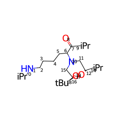 CC(C)NCCCCC(C(=O)C(C)C)N(CC(=O)C(C)C)CC(=O)C(C)(C)C